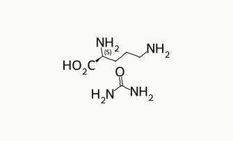 NC(N)=O.NCCC[C@H](N)C(=O)O